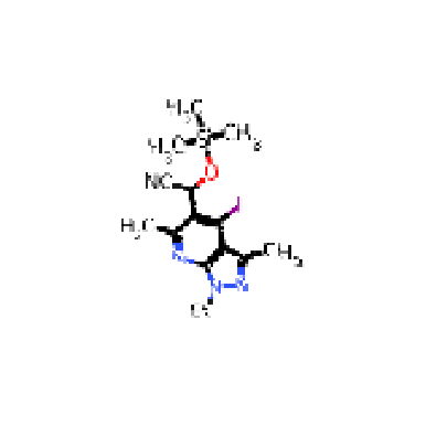 CCn1nc(C)c2c(I)c(C(C#N)O[Si](C)(C)C)c(C)nc21